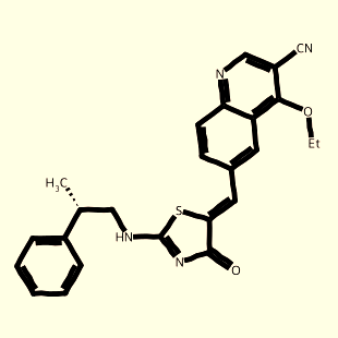 CCOc1c(C#N)cnc2ccc(/C=C3\SC(NC[C@@H](C)c4ccccc4)=NC3=O)cc12